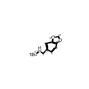 CC(C)(C)NCc1ccc2c(c1)OCO2